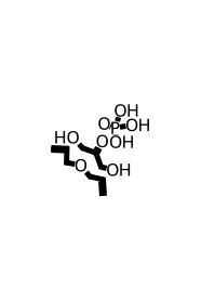 C=CCOCC=C.O=C(CO)CO.O=P(O)(O)O